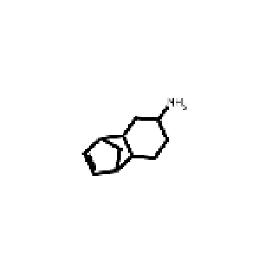 NC1CCC2C3C=CC(C3)C2C1